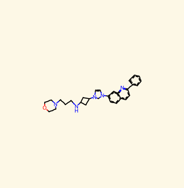 C1=CN(C2CC(NCCCN3CCOCC3)C2)CN1c1ccc2ccc(-c3ccccc3)nc2c1